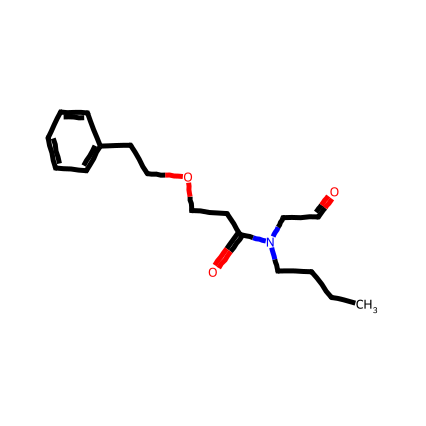 CCCCN(CC=O)C(=O)CCOCCc1ccccc1